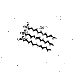 CCCCCCCCCCCC[PH](=O)[O-].CCCCCCCCCCCC[PH](=O)[O-].CCCCCCCCCCCC[PH](=O)[O-].[Nd+3]